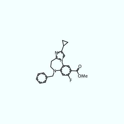 COC(=O)c1cc2c(cc1F)N(Cc1ccccc1)CCc1nc(C3CC3)cn1-2